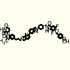 COc1ccc(COc2c(F)cc(C(=O)NC[C@H]3CC[C@H](n4cc5ccc(-c6ccc7c(n6)CN(CCCc6ccc8c(c6)n(C)c(=O)n8C6CCC(=O)NC6=O)C7)cc5n4)CC3)c(F)c2F)cc1